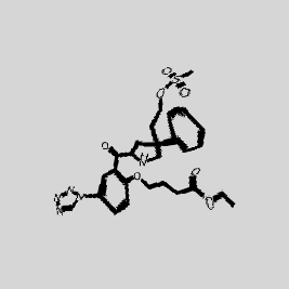 CCOC(=O)CCCOc1ccc(-n2cnnn2)cc1C(=O)C1CC(CCOS(C)(=O)=O)(c2ccccc2)CN1